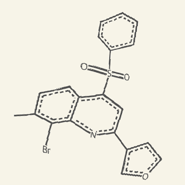 Cc1ccc2c(S(=O)(=O)c3ccccc3)cc(-c3ccoc3)nc2c1Br